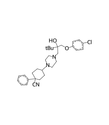 CC(C)(C)C(O)(COc1ccc(Cl)cc1)CN1CCN(C2CCC(C#N)(c3ccccc3)CC2)CC1